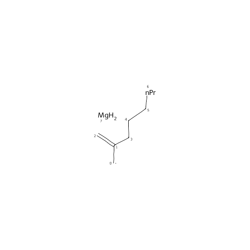 [CH2]C(=C)CCCCCC.[MgH2]